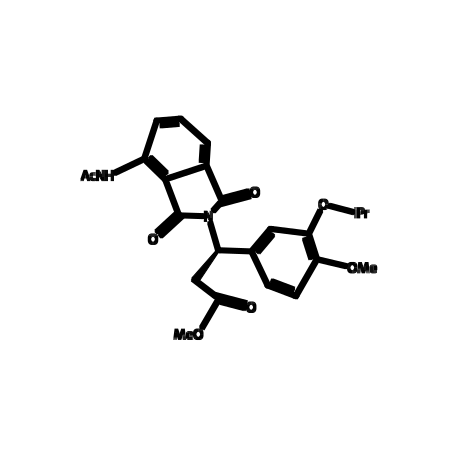 COC(=O)C[C@H](c1ccc(OC)c(OC(C)C)c1)N1C(=O)c2cccc(NC(C)=O)c2C1=O